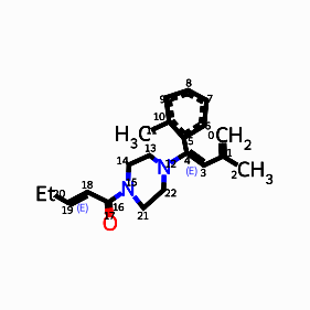 C=C(C)/C=C(\c1ccccc1C)N1CCN(C(=O)/C=C/CC)CC1